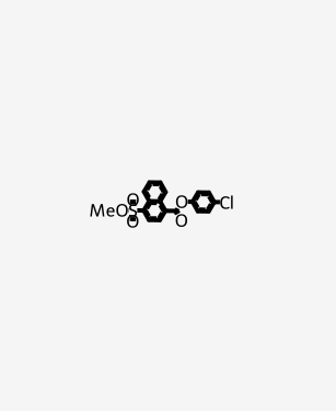 COS(=O)(=O)c1ccc(C(=O)Oc2ccc(Cl)cc2)c2ccccc12